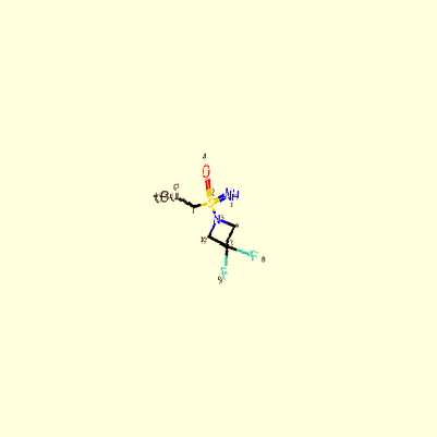 CC(C)(C)CS(=N)(=O)N1CC(F)(F)C1